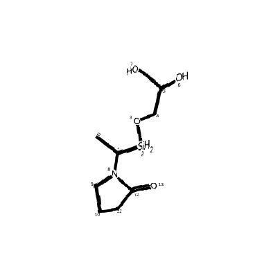 CC([SiH2]OCC(O)O)N1CCCC1=O